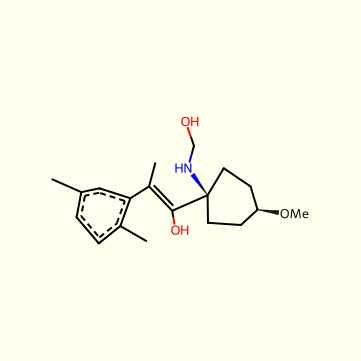 CO[C@H]1CC[C@](NCO)(/C(O)=C(\C)c2cc(C)ccc2C)CC1